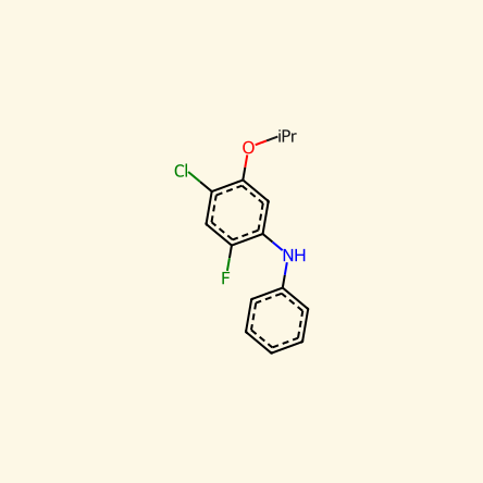 CC(C)Oc1cc(Nc2ccccc2)c(F)cc1Cl